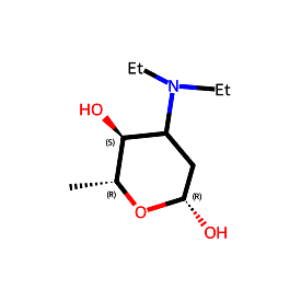 CCN(CC)C1C[C@H](O)O[C@H](C)[C@H]1O